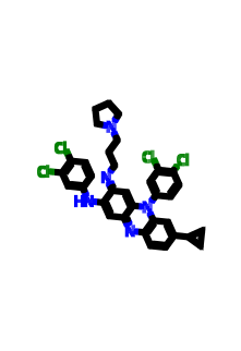 Clc1ccc(Nc2cc3nc4ccc(C5CC5)cc4n(-c4ccc(Cl)c(Cl)c4)c-3cc2=NCCCN2CCCC2)cc1Cl